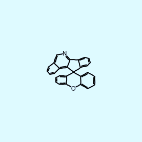 c1ccc2c(c1)Oc1ccccc1C21c2ccccc2-c2ncc3ccccc3c21